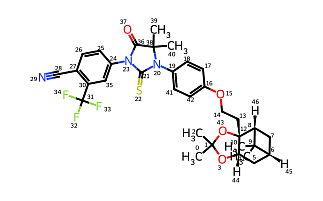 CC1(C)O[C@H]2C[C@H]3C[C@H](C3(C)C)[C@@]2(CCOc2ccc(N3C(=S)N(c4ccc(C#N)c(C(F)(F)F)c4)C(=O)C3(C)C)cc2)O1